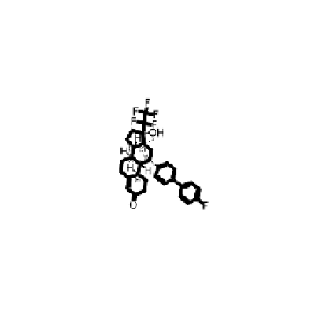 C[C@]12C[C@H](c3ccc(-c4ccc(F)cc4)cc3)[C@H]3[C@@H](CCC4=CC(=O)CC[C@@H]43)[C@@H]1CC[C@@]2(O)C(F)(F)C(F)(F)F